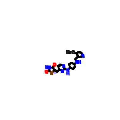 COc1ccncc1CNC1CCC(Nc2nccc(/C=C3/SC(=O)NC3=O)n2)CC1